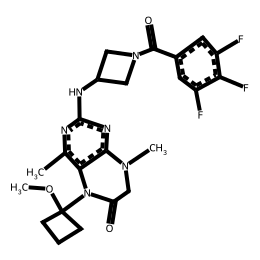 COC1(N2C(=O)CN(C)c3nc(NC4CN(C(=O)c5cc(F)c(F)c(F)c5)C4)nc(C)c32)CCC1